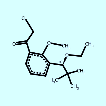 CCO[C@H](c1cccc(C(=O)CCl)c1OC)C(C)(C)C